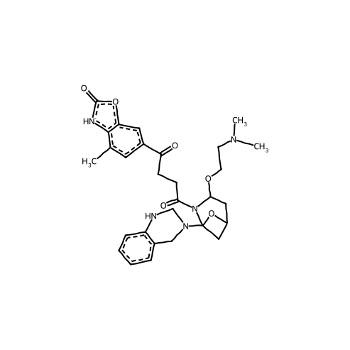 Cc1cc(C(=O)CCC(=O)N2C(OCCN(C)C)CC3CC2(N2CNc4ccccc4C2)O3)cc2oc(=O)[nH]c12